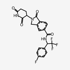 O=C1CCC(N2Cc3cc(C(=O)NC(c4ccc(F)cc4)C(F)(F)F)ccc3C2=O)C(=O)N1